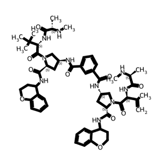 C=C(C)[C@H](NC(=O)[C@H](C)NC)C(=O)N1C[C@@H](NC(=O)c2cccc(C(=O)N[C@H]3C[C@@H](C(=O)NC4CCOc5ccccc54)N(C(=O)[C@@H](NC(=O)[C@H](C)NC)C(C)(C)C)C3)c2)C[C@H]1C(=O)NC1CCOc2ccccc21